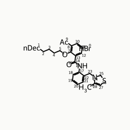 Br.CCCCCCCCCCCCCCOc1c(C(C)=O)cccc1C(=O)Nc1ccccc1CN1CSC=C1C